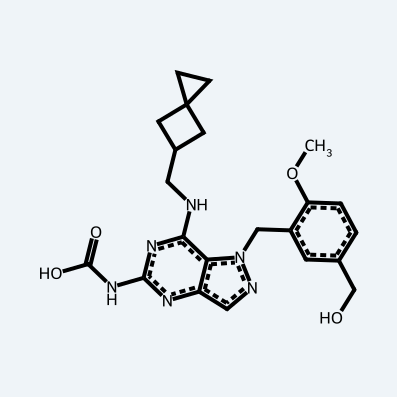 COc1ccc(CO)cc1Cn1ncc2nc(NC(=O)O)nc(NCC3CC4(CC4)C3)c21